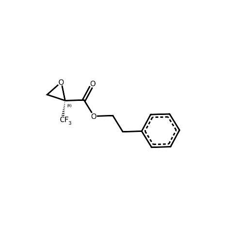 O=C(OCCc1ccccc1)[C@@]1(C(F)(F)F)CO1